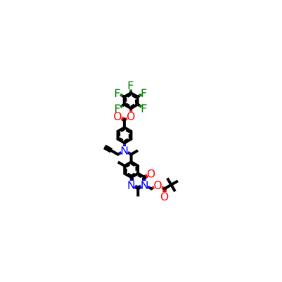 C#CCN(c1ccc(C(=O)Oc2c(F)c(F)c(F)c(F)c2F)cc1)C(C)c1cc2c(=O)n(COC(=O)C(C)(C)C)c(C)nc2cc1C